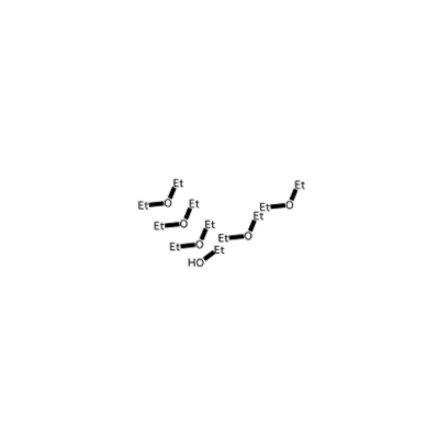 CCO.CCOCC.CCOCC.CCOCC.CCOCC.CCOCC